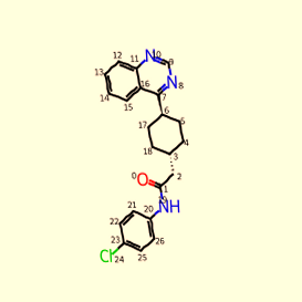 O=C(C[C@H]1CC[C@H](c2ncnc3ccccc32)CC1)Nc1ccc(Cl)cc1